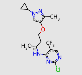 Cc1nn(C2CC2)cc1OCC[C@@H](C)Nc1nc(Cl)ncc1C(F)(F)F